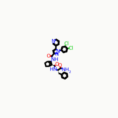 NC(=O)[C@H](Cc1ccccc1)NC(=O)[C@H]1C2CCC(C2)C1NC(=O)c1cc(-c2cccnc2)n(-c2ccc(Cl)c(Cl)c2)n1